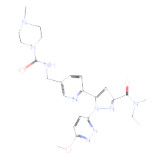 CCN(C)C(=O)c1cc(-c2ccc(CNC(=O)N3CCN(C)CC3)cn2)n(-c2ccc(OC)nn2)n1